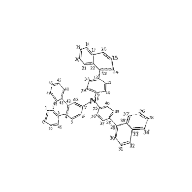 c1ccc(-c2ccc(N(c3ccc(-c4cccc5ccccc45)cc3)c3ccc(-c4cccc5ccccc45)cc3)cc2-c2ccccc2)cc1